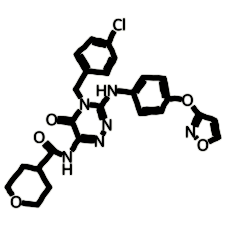 O=C(Nc1nnc(Nc2ccc(Oc3ccon3)cc2)n(Cc2ccc(Cl)cc2)c1=O)C1CCOCC1